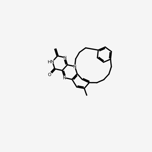 C=c1nc2c(c(=O)[nH]1)=Nc1cc(C)c3cc1N2CCCc1ccc(cc1)CCCC3